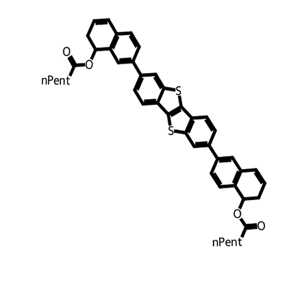 CCCCCC(=O)OC1CC=Cc2cc(-c3ccc4c(c3)sc3c5ccc(-c6ccc7c(c6)C(OC(=O)CCCCC)CC=C7)cc5sc43)ccc21